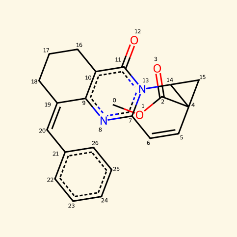 COC(=O)C12C=Cc3nc4c(c(=O)n3C1C2)CCC/C4=C/c1ccccc1